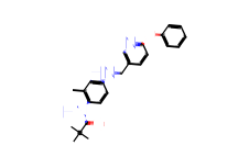 Cc1cc(NCc2ccc(Oc3ccccc3)nc2)ccc1NC(=O)C(C)(C)C